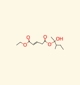 CCOC(=O)C=CCC(=O)OC(C)(O)C(C)CC